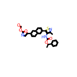 Cc1nsc(-c2ccc3cc(-c4cnc(OC=O)o4)ccc3c2)c1NC(=O)OC(C)c1ccccc1